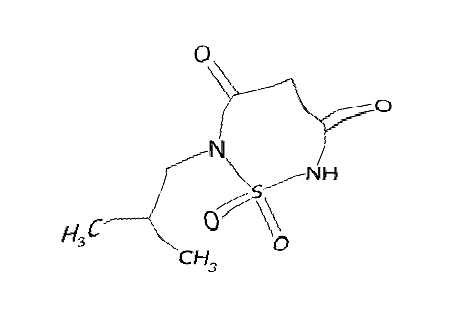 CC(C)CN1C(=O)CC(=O)NS1(=O)=O